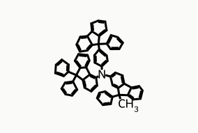 CC1(c2ccccc2)c2ccccc2-c2ccc(N(c3ccc(C4(c5ccccc5)c5ccccc5-c5ccccc54)cc3)c3cccc4c3-c3ccccc3C4(c3ccccc3)c3ccccc3)cc21